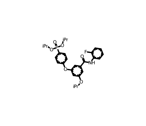 CC(C)Oc1cc(Oc2ccc(P(=O)(OC(C)C)OC(C)C)cc2)cc(C(=O)Nc2ccccc2F)c1